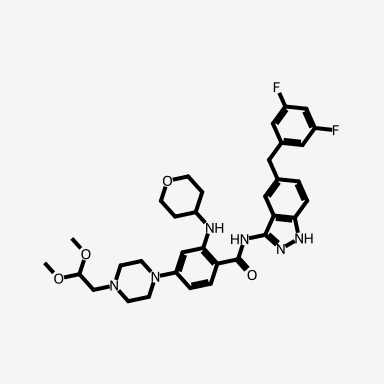 COC(CN1CCN(c2ccc(C(=O)Nc3n[nH]c4ccc(Cc5cc(F)cc(F)c5)cc34)c(NC3CCOCC3)c2)CC1)OC